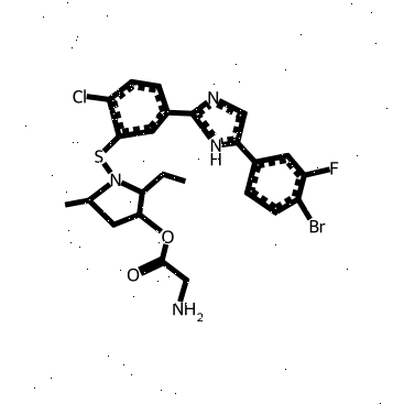 CCC1C(OC(=O)CN)CC(C)N1Sc1cc(-c2ncc(-c3ccc(Br)c(F)c3)[nH]2)ccc1Cl